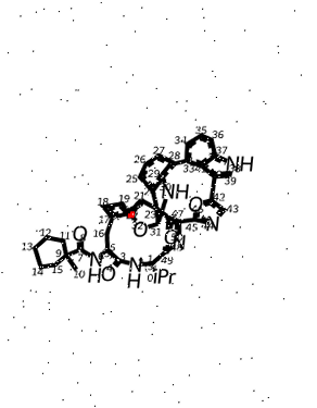 CC(C)[C@@H]1NC(=O)[C@@H](NC(=O)C2(C)CCCCC2)Cc2ccc3c(c2)C24c5cccc(c5NC2O3)-c2cccc3[nH]cc(c23)-c2cnc(o2)-c2nc1oc24